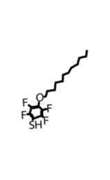 CCCCCCCCCCCCOc1c(F)c(F)c(S)c(F)c1F